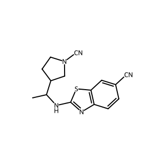 CC(Nc1nc2ccc(C#N)cc2s1)C1CCN(C#N)C1